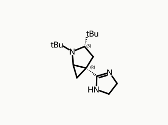 CC(C)(C)[C@@H]1C[C@@]2(C3=NCCN3)CC2N1C(C)(C)C